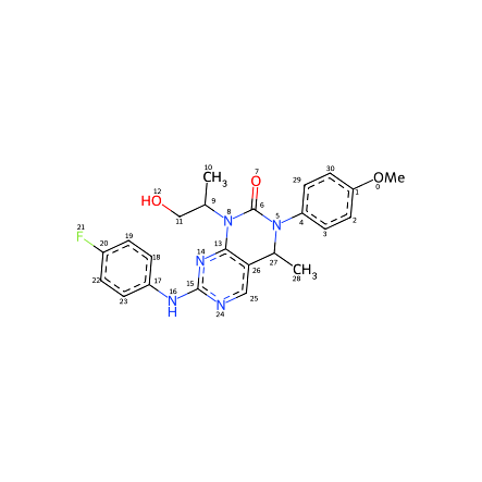 COc1ccc(N2C(=O)N(C(C)CO)c3nc(Nc4ccc(F)cc4)ncc3C2C)cc1